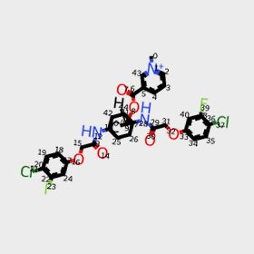 C[n+]1cccc(C(=O)O[C@H]2CC3(NC(=O)COc4ccc(Cl)c(F)c4)CCC2(NC(=O)COc2ccc(Cl)c(F)c2)CC3)c1